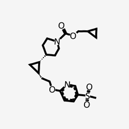 CS(=O)(=O)c1ccc(OCC[C@@H]2C[C@@H]2C2CCN(C(=O)OCC3CC3)CC2)nc1